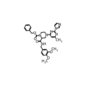 COc1ccc(CNC(=O)C2CN(c3cc(C)nc(-n4ccnc4)n3)CCN2C(=O)OCc2ccccc2)cc1OC